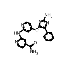 NC(=O)c1ccnc(Nc2cc(Oc3sc(N)nc3-c3ccccc3)ccn2)c1